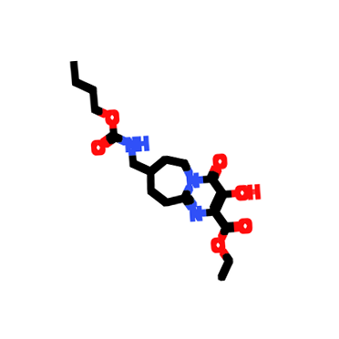 CCCCOC(=O)NCC1CCc2nc(C(=O)OCC)c(O)c(=O)n2CC1